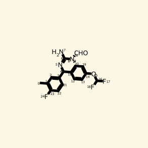 Cc1cc(C(/N=C(/N)N(C)C=O)c2ccc(OC(F)F)cc2)ccc1F